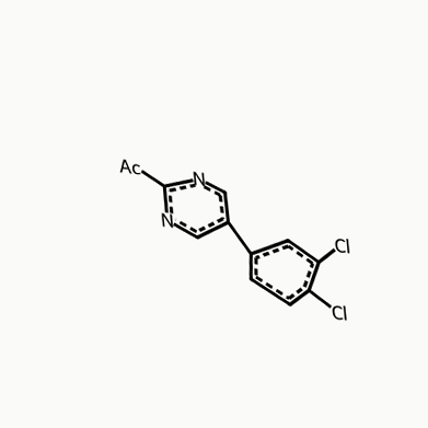 CC(=O)c1ncc(-c2ccc(Cl)c(Cl)c2)cn1